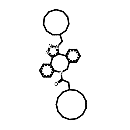 O=C(CC1CCCCCCCCCCCC1)N1Cc2ccccc2-c2c(nnn2CC2CCCCCCCCCC2)-c2ccccc21